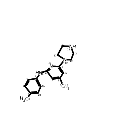 Cc1ccc(Nc2cc(C)cc(N3CCNCC3)n2)cc1